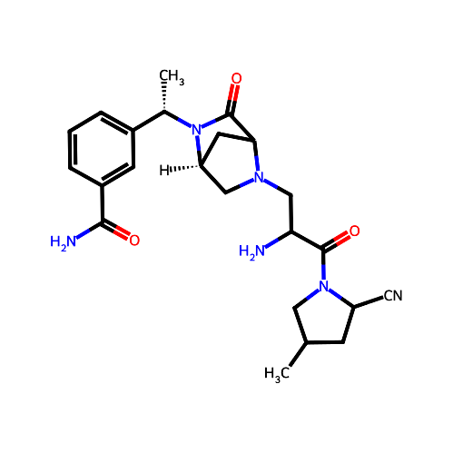 CC1CC(C#N)N(C(=O)C(N)CN2C[C@@H]3CC2C(=O)N3[C@@H](C)c2cccc(C(N)=O)c2)C1